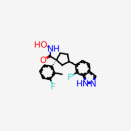 Cc1c(F)cccc1[C@]1(C(=O)NO)CCC(c2ccc3cn[nH]c3c2F)C1